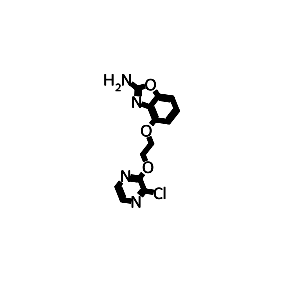 Nc1nc2c(OCCOc3nccnc3Cl)cccc2o1